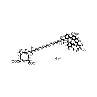 COc1cc2c(cc1-c1cccc(NC(=O)NCCOCCOCCOCCOCCNC(=O)CN3CCN(CC(=O)[O-])CCN(CC(=O)[O-])CCN(CC(=O)[O-])CC3)c1)-c1c(c(C(=O)N(C)C(C)(C)C)nn1-c1cc(Cl)cc(Cl)c1)CO2.[In+3]